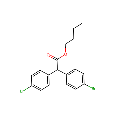 CCCCOC(=O)C(c1ccc(Br)cc1)c1ccc(Br)cc1